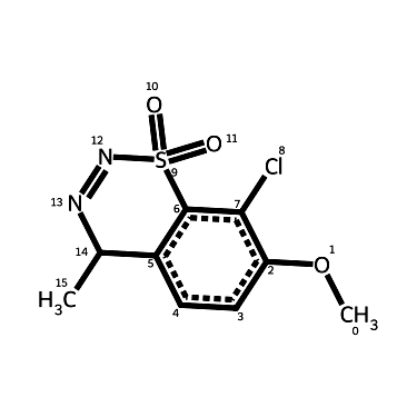 COc1ccc2c(c1Cl)S(=O)(=O)N=NC2C